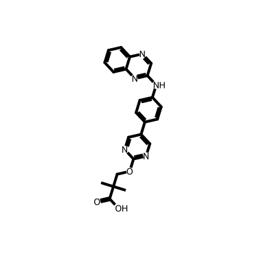 CC(C)(COc1ncc(-c2ccc(Nc3cnc4ccccc4n3)cc2)cn1)C(=O)O